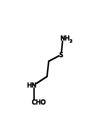 NSCCNC=O